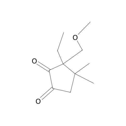 CCC1(COC)C(=O)C(=O)CC1(C)C